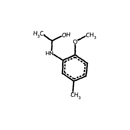 COc1ccc(C)cc1NC(C)O